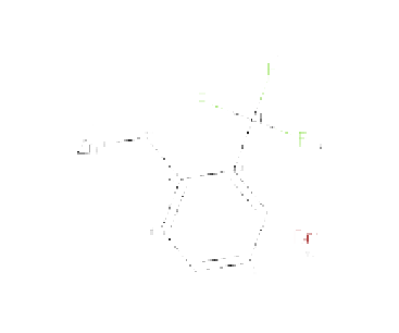 FC(F)(F)c1ccccc1[CH2][Zn+].[Br-]